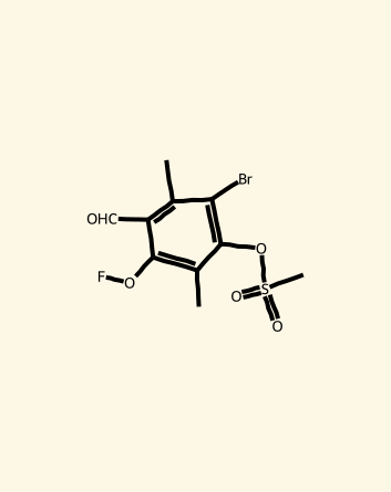 Cc1c(Br)c(OS(C)(=O)=O)c(C)c(OF)c1C=O